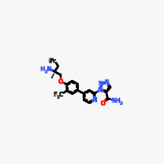 CC(C)C[C@](C)(N)COc1ccc(-c2ccnc(-n3nncc3C(N)=O)c2)cc1C(F)(F)F